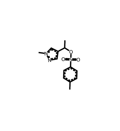 Cc1ccc(S(=O)(=O)OC(C)c2cnn(C)c2)cc1